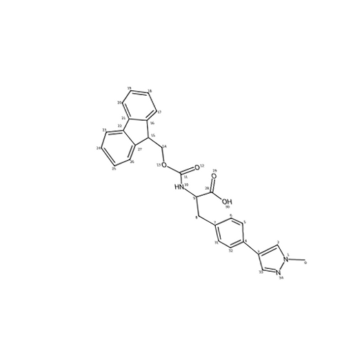 Cn1cc(-c2ccc(CC(NC(=O)OCC3c4ccccc4-c4ccccc43)C(=O)O)cc2)cn1